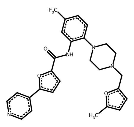 Cc1ccc(CN2CCN(c3ccc(C(F)(F)F)cc3NC(=O)c3ccc(-c4ccncc4)o3)CC2)o1